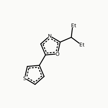 CCC(CC)c1ncc(-c2ccsc2)o1